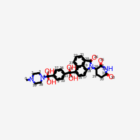 CN1CCN(C(O)(O)c2ccc(C(O)(O)c3ccc4c5c(cccc35)C(=O)N4C3CCC(=O)NC3=O)cc2)CC1